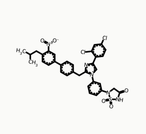 CC(C)Cc1ccc(-c2ccc(Cc3nc(-c4ccc(Cl)cc4Cl)cn3-c3cccc(N4CC(=O)NS4(=O)=O)c3)cc2)cc1[N+](=O)[O-]